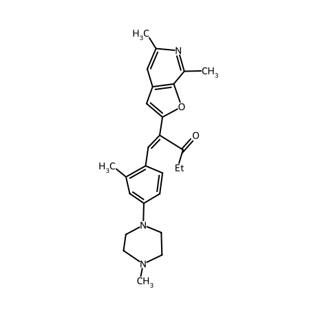 CCC(=O)/C(=C\c1ccc(N2CCN(C)CC2)cc1C)c1cc2cc(C)nc(C)c2o1